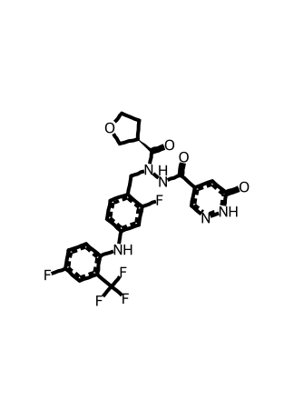 O=C(NN(Cc1ccc(Nc2ccc(F)cc2C(F)(F)F)cc1F)C(=O)[C@@H]1CCOC1)c1cn[nH]c(=O)c1